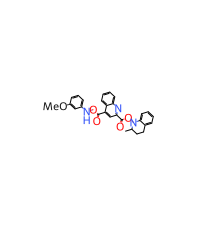 COc1cccc(NOC(=O)c2cc(C(=O)ON3c4ccccc4CCC3C)nc3ccccc23)c1